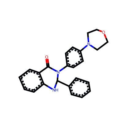 O=C1c2ccccc2NC(c2ccccc2)N1c1ccc(N2CCOCC2)cc1